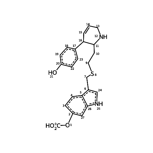 O=C(O)Oc1ccc2c(CSCCC3NCC=CC3c3ccc(O)cc3)c[nH]c2c1